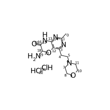 Cc1nc(CCN2CCOCC2)c2c(n1)NC(=O)C(N)O2.Cl.Cl